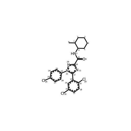 CC1CCCCC1NC(=O)c1nc(-c2cc(Cl)ccc2Cl)n(-c2ccc(Cl)cc2)n1